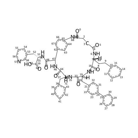 O=C1CCC(=O)N[C@H](CCc2ccccc2)C(=O)N[C@@H](Cc2ccc(-c3ccccc3)cc2)C(=O)N[C@H](Cc2ccccc2)C(=O)NC(C(=O)N[C@@H](Cc2cccnc2)C(=O)O)c2ccc(cc2)N1